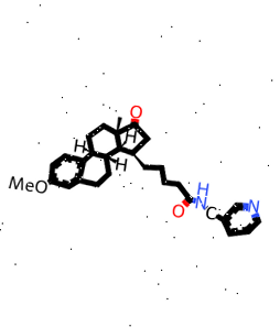 COc1ccc2c(c1)CC[C@H]1[C@@H]3[C@H](CCCCC(=O)NCc4cccnc4)CC(=O)[C@@]3(C)CC[C@H]21